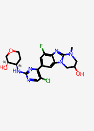 CN1CC(O)Cn2c1nc1c(F)cc(-c3nc(N[C@@H]4CCOC[C@H]4O)ncc3Cl)cc12